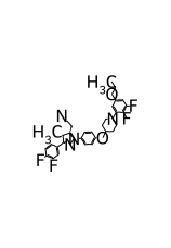 CCOc1cc(F)c(F)c(N2CCC(Oc3ccc(N4N=C(c5ccc(F)c(F)c5)[C@H](C)[C@H]4CC#N)cc3)CC2)c1